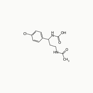 CC(=O)NCCC(NC(=O)O)c1ccc(Cl)cc1